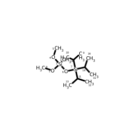 CO[Si](C)(OC)O[Si](C(C)C)(C(C)C)C(C)C